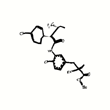 CCC(C)(Cc1ccc(Cl)c(NC(=O)[C@H](C2C=CC(Cl)=CC2)[C@@H](C)C(F)(F)F)c1)C(=O)OC(C)(C)C